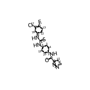 O=C(Nc1ccc(NC(=S)Nc2ccc(F)c(Cl)c2)cc1)c1csnn1